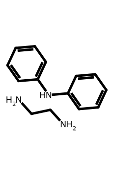 NCCN.c1ccc(Nc2ccccc2)cc1